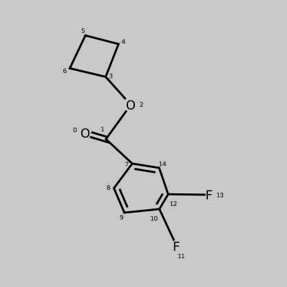 O=C(OC1CCC1)c1ccc(F)c(F)c1